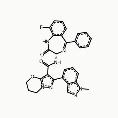 Cn1ncc2c(-c3nn4c(c3C(=O)N[C@H]3N=C(c5ccccc5)c5cccc(F)c5NC3=O)OCCC4)cccc21